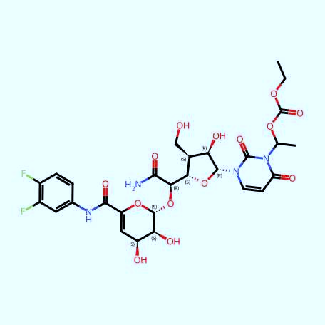 CCOC(=O)OC(C)n1c(=O)ccn([C@@H]2O[C@H]([C@@H](O[C@H]3OC(C(=O)Nc4ccc(F)c(F)c4)=C[C@H](O)[C@@H]3O)C(N)=O)[C@@H](CO)[C@H]2O)c1=O